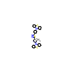 C/C=C(\C=C/Cc1nnc(-c2ccc(N3c4ccccc4Sc4ccccc43)cc2)s1)N1c2ccccc2Sc2ccccc21